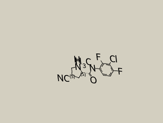 CN(C(=O)[C@@H]1C[C@H](C#N)CN1)c1ccc(F)c(Cl)c1F